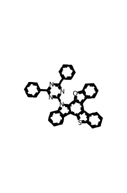 c1ccc(-c2nc(-c3ccccc3)nc(-n3c4ccccc4c4c5sc6ccccc6c5c5c6ccccc6oc5c43)n2)cc1